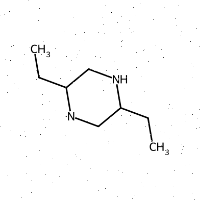 CCC1CNC(CC)C[N]1